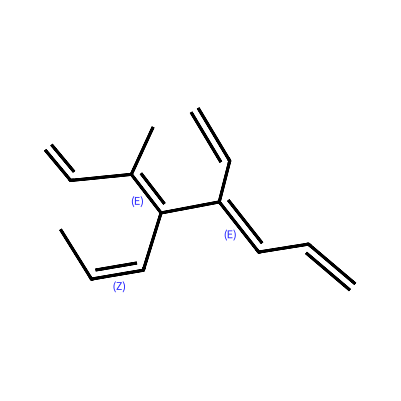 C=C/C=C(C=C)/C(/C=C\C)=C(\C)C=C